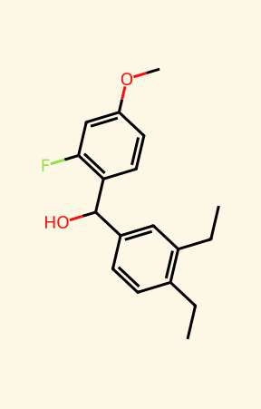 CCc1ccc(C(O)c2ccc(OC)cc2F)cc1CC